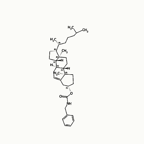 CC(C)CCC[C@@H](C)[C@H]1CC[C@H]2[C@@H]3CC=C4C[C@@H](OC(=O)NCc5ccccc5)CC[C@]4(C)[C@H]3CC[C@]12C